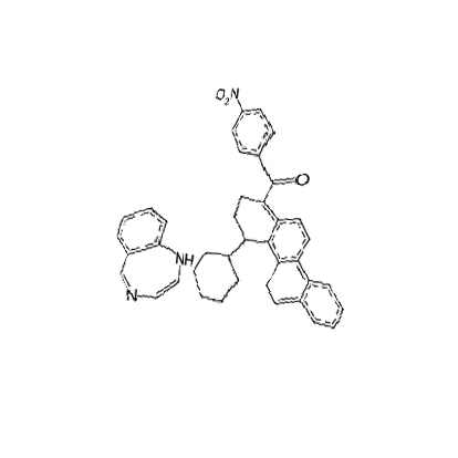 C1=CNc2ccccc2C=N1.O=C(C1=c2ccc3c(c2C(C2CCCCC2)CC1)CC=c1ccccc1=3)c1ccc([N+](=O)[O-])cc1